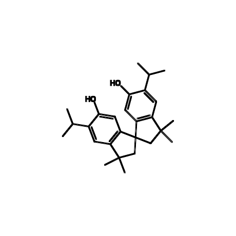 CC(C)c1cc2c(cc1O)C1(CC2(C)C)CC(C)(C)c2cc(C(C)C)c(O)cc21